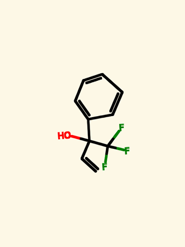 C=CC(O)(c1ccccc1)C(F)(F)F